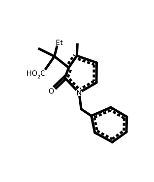 CCC(C)(C(=O)O)c1c(C)ccn(Cc2ccccc2)c1=O